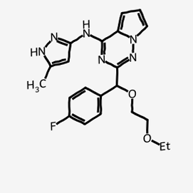 CCOCCOC(c1ccc(F)cc1)c1nc(Nc2cc(C)[nH]n2)c2cccn2n1